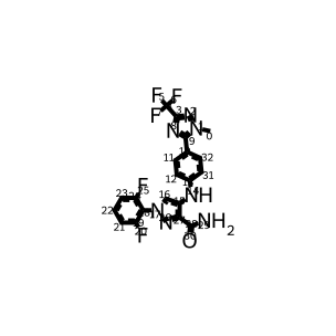 Cn1nc(C(F)(F)F)nc1-c1ccc(Nc2cn(-c3c(F)cccc3F)nc2C(N)=O)cc1